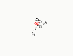 CCC(CCCCCCCC(C)C)OC(=O)c1ccccc1C(=O)O